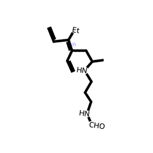 C=C/C(CC)=C(\C=C)CC(C)NCCCNC=O